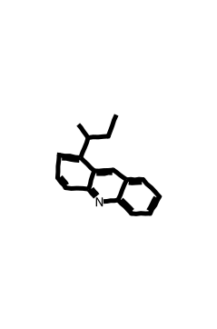 CCC(C)c1cccc2nc3ccccc3cc12